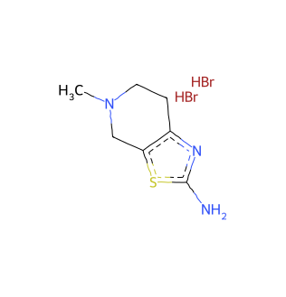 Br.Br.CN1CCc2nc(N)sc2C1